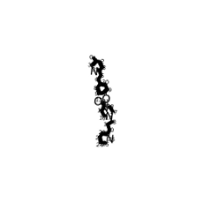 Cc1ccc(CCc2ccc(OC(=O)N3CCN(CCCc4ccccn4)CC3)cc2)nc1